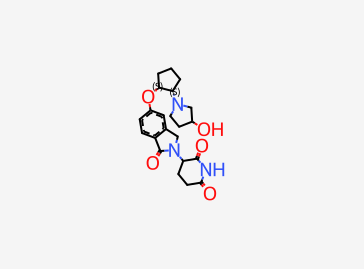 O=C1CCC(N2Cc3cc(O[C@H]4CCC[C@@H]4N4CCC(O)C4)ccc3C2=O)C(=O)N1